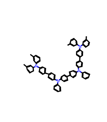 CC1=CC(N(c2ccc(-c3ccc(N(c4ccccc4)c4ccc(-c5ccc(N(c6ccccc6)c6ccc(-c7ccc(N(c8cccc(C)c8)c8cccc(C)c8)cc7)cc6)cc5)cc4)cc3)cc2)c2cccc(C)c2)CC=C1